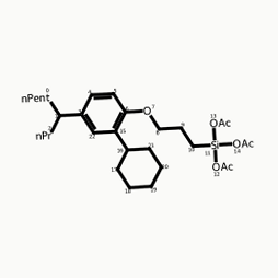 CCCCCC(CCC)c1ccc(OCCC[Si](OC(C)=O)(OC(C)=O)OC(C)=O)c(C2CCCCC2)c1